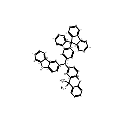 CC1(C)c2ccccc2Oc2ccc(N(c3ccc(C4(c5ccccc5)c5ccccc5-c5ccccc54)cc3)c3ccc4oc5ccccc5c4c3)cc21